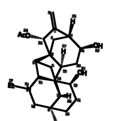 C=C1[C@H]2C[C@@]3(C4C[C@@H]5[C@@]6(C)CC[C@H](O)[C@@]5(C4N(CC)C6)[C@@H]3C[C@@H]2O)[C@@H]1OC(C)=O